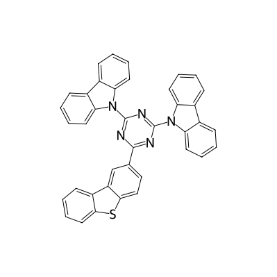 c1ccc2c(c1)sc1ccc(-c3nc(-n4c5ccccc5c5ccccc54)nc(-n4c5ccccc5c5ccccc54)n3)cc12